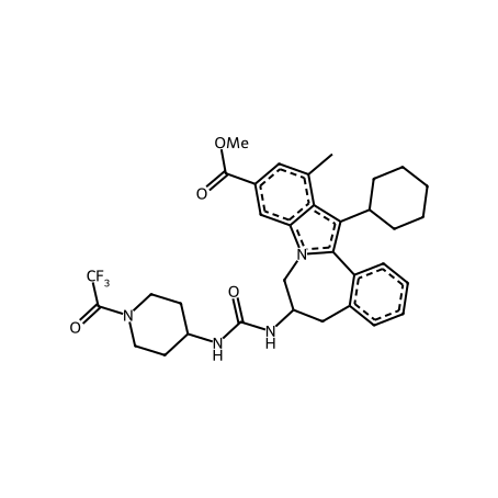 COC(=O)c1cc(C)c2c(C3CCCCC3)c3n(c2c1)CC(NC(=O)NC1CCN(C(=O)C(F)(F)F)CC1)Cc1ccccc1-3